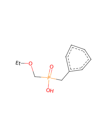 CCOCP(=O)(O)Cc1ccccc1